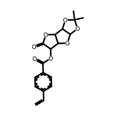 C=Cc1ccc(C(=O)OC2C(=O)OC3C4OC(C)(C)OC4OC23)cc1